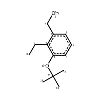 CCc1c([CH]O)cccc1OC(C)(C)C